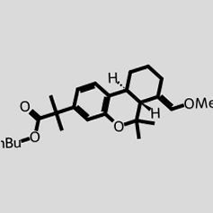 CCCCOC(=O)C(C)(C)c1ccc2c(c1)OC(C)(C)[C@H]1C(=COC)CCC[C@H]21